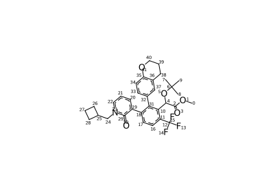 COC(=O)C(OC(C)(C)C)c1c(C(F)(F)F)ccc(-c2cccn(CC3CCC3)c2=O)c1-c1ccc2c(c1)CCCO2